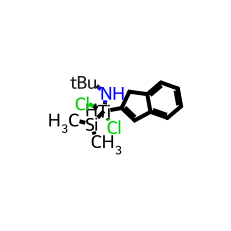 C[SiH](C)[Ti]([Cl])([Cl])([NH]C(C)(C)C)[C]1=Cc2ccccc2C1